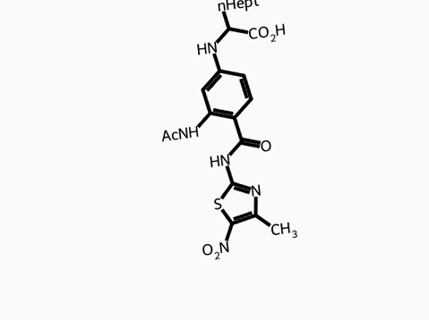 CCCCCCCC(Nc1ccc(C(=O)Nc2nc(C)c([N+](=O)[O-])s2)c(NC(C)=O)c1)C(=O)O